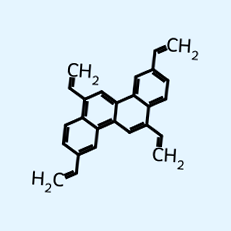 C=Cc1ccc2c(C=C)cc3c4cc(C=C)ccc4c(C=C)cc3c2c1